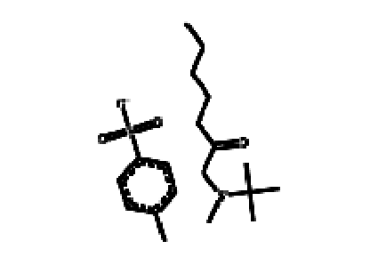 CCCCCC(=O)C[S+](C)C(C)(C)C.Cc1ccc(S(=O)(=O)[O-])cc1